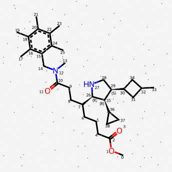 COC(=O)CCCC(CCC(=O)N(C)Cc1c(C)c(C)c(C)c(C)c1C)[C@H]1NC[C@@H](C2CC(C)C2)[C@H]1C1CC1